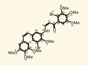 COc1cc(/C=C\c2cc(Br)c(OC)c(N/C=C\C(=O)c3cc(OC)c(OC)c(OC)c3Br)c2)cc(OC)c1OC